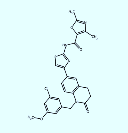 COc1cc(Cl)cc(CN2C(=O)CCc3cc(-c4csc(NC(=O)c5oc(C)nc5C)n4)ccc32)c1